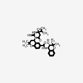 CC(C)C1(C)CC(=O)N(C2CC(C)(C)Oc3ccc(C(=O)N[C@@H]4c5ccccc5OC(C)(C)[C@H]4O)cc32)C(=N)N1